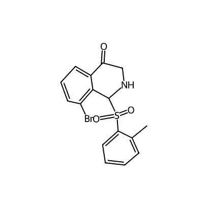 Cc1ccccc1S(=O)(=O)C1NCC(=O)c2cccc(Br)c21